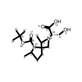 CC1CCC2(CN([C@@H](CO)C(=O)O)C2C)N1C(=O)OC(C)(C)C